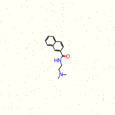 CN(C)CCNC(=O)c1ccc2ccccc2c1